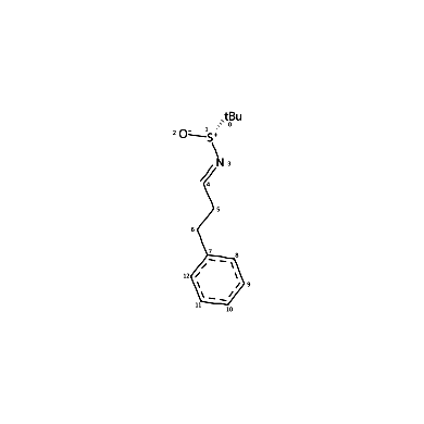 CC(C)(C)[S@@+]([O-])N=CCCc1ccccc1